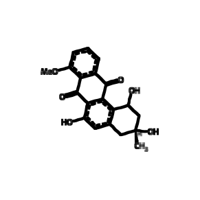 COc1cccc2c1C(=O)c1c(O)cc3c(c1C2=O)C(O)C[C@](C)(O)C3